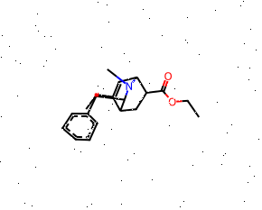 CCOC(=O)C1CC2C(CC)=CC1N(C)C2Cc1ccccc1